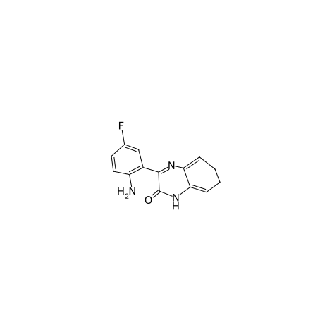 Nc1ccc(F)cc1-c1nc2c([nH]c1=O)=CCCC=2